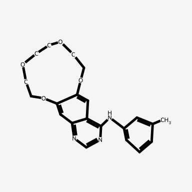 Cc1cccc(Nc2ncnc3cc4c(cc23)OCCOCCOCCO4)c1